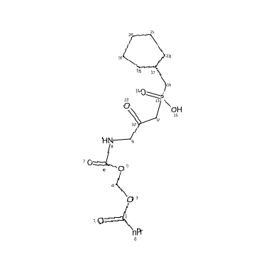 CCCC(=O)OCOC(=O)NCC(=O)CP(=O)(O)CC1CCCCC1